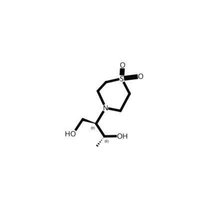 C[C@@H](O)[C@@H](CO)N1CCS(=O)(=O)CC1